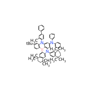 Cc1cc(-c2ccccc2)ccc1N1c2cc(C(C)(C)C)ccc2B2c3cc4c(cc3N(c3ccc5c(c3)C(C)(C)CCC5(C)C)c3cc(N(c5ccccc5)c5ccccc5)cc1c32)C(C)(C)CCC4(C)C